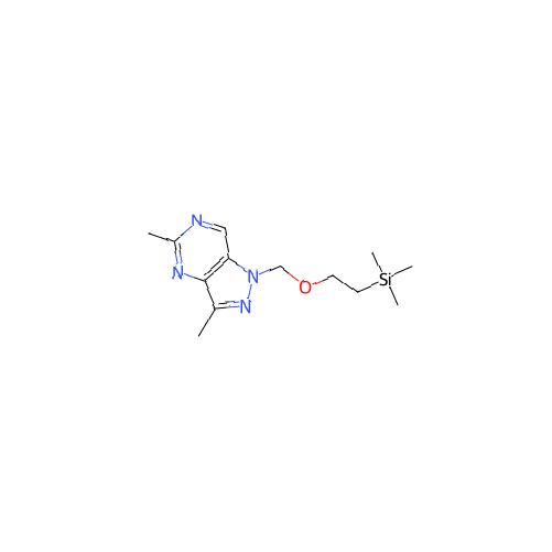 Cc1ncc2c(n1)c(C)nn2COCC[Si](C)(C)C